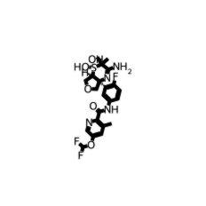 Cc1cc(OC(F)F)cnc1C(=O)Nc1ccc(F)c([C@]23COC[C@H]2S(O)(O)C(C)(C)C(N)=N3)c1